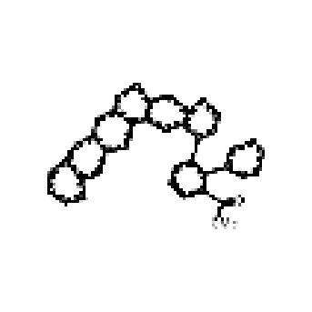 COC(=O)c1cccc(-c2cccc3cc4ccc5cc6cc7ccccc7cc6cc5c4cc23)c1-c1ccccc1